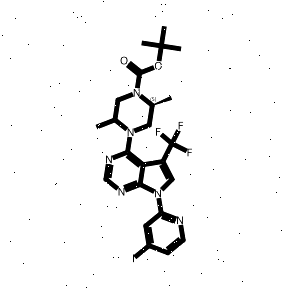 CC1CN(C(=O)OC(C)(C)C)[C@@H](C)CN1c1ncnc2c1c(C(F)(F)F)cn2-c1cc(I)ccn1